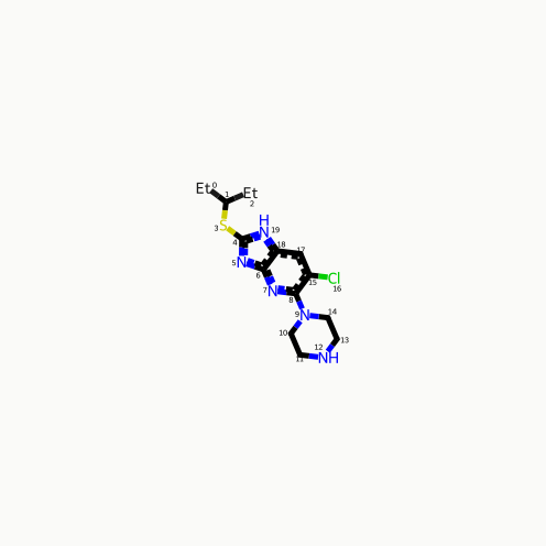 CCC(CC)Sc1nc2nc(N3CCNCC3)c(Cl)cc2[nH]1